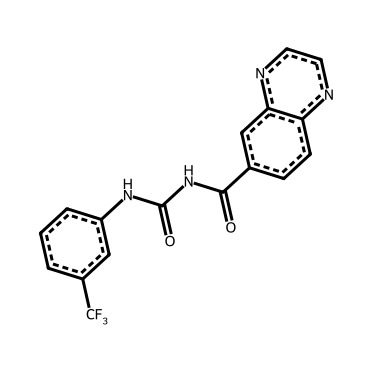 O=C(NC(=O)c1ccc2nccnc2c1)Nc1cccc(C(F)(F)F)c1